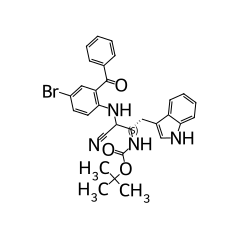 CC(C)(C)OC(=O)N[C@@H](Cc1c[nH]c2ccccc12)C(C#N)Nc1ccc(Br)cc1C(=O)c1ccccc1